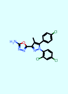 Cc1c(-c2nnc(N)o2)nn(-c2ccc(Cl)cc2Cl)c1-c1ccc(Cl)cc1